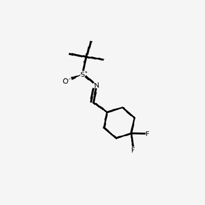 CC(C)(C)[S@+]([O-])N=CC1CCC(F)(F)CC1